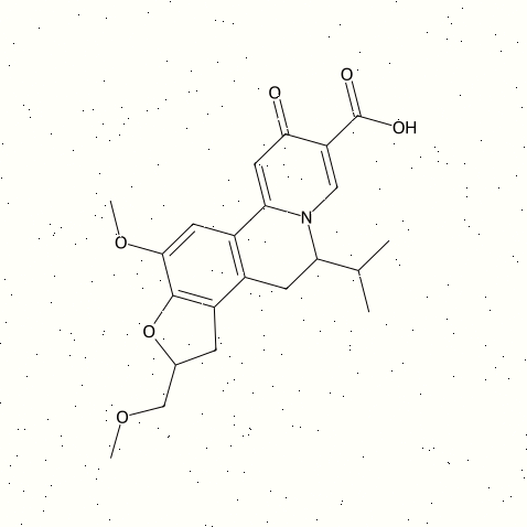 COCC1Cc2c3c(cc(OC)c2O1)-c1cc(=O)c(C(=O)O)cn1C(C(C)C)C3